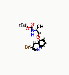 C[C@H](COc1cccc2ncc(Br)cc12)NC(=O)OC(C)(C)C